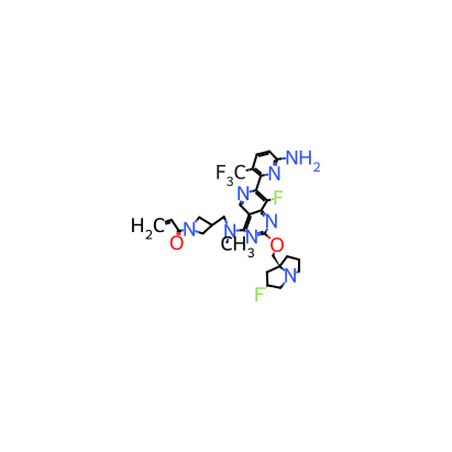 C=CC(=O)N1CC(CN(C)c2nc(OC[C@@]34CCCN3C[C@H](F)C4)nc3c(F)c(-c4nc(N)ccc4C(F)(F)F)ncc23)C1